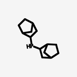 C1CC2CC1CC2PC1CC2CCC1C2